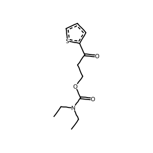 CCN(CC)C(=O)OCCC(=O)c1cccs1